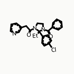 CCC1(c2ccc(Cl)cc2)N(C(=O)Cc2cccnc2)CCN1C(=O)c1ccccc1